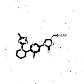 CC(=O)NC[C@H]1CN(c2ccc(C3CCCCN3c3nnc(C)s3)c(F)c2)C(=O)O1